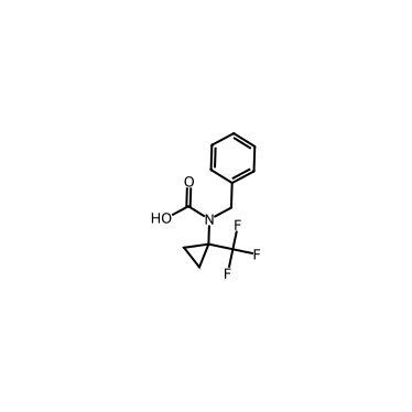 O=C(O)N(Cc1ccccc1)C1(C(F)(F)F)CC1